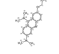 CCOc1ccc2nc3cc(N(C)C)ccc3c(N(C)C)c2c1